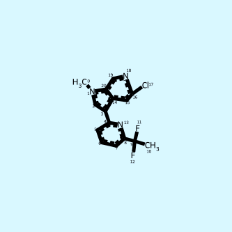 Cn1cc(-c2cccc(C(C)(F)F)n2)c2cc(Cl)ncc21